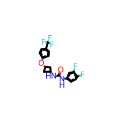 O=C(Nc1ccc(F)c(F)c1)NC1CC(Oc2ccc(C(F)(F)F)cc2)C1